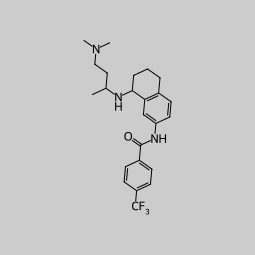 CC(CCN(C)C)NC1CCCc2ccc(NC(=O)c3ccc(C(F)(F)F)cc3)cc21